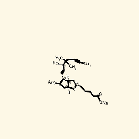 CC#CCC(C)(C)[C@H](O)C=C[C@@H]1[C@H]2C[C@@H](CCCCC(=O)OC)O[C@H]2C[C@H]1OC(C)=O